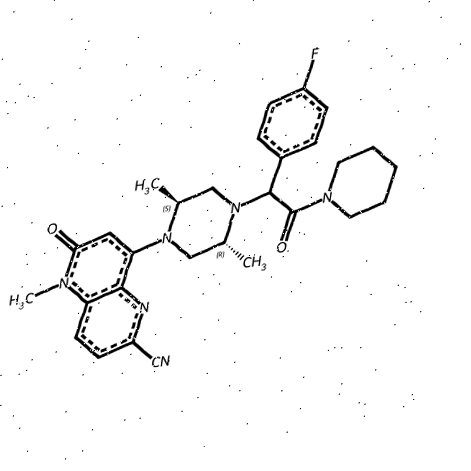 C[C@@H]1CN(c2cc(=O)n(C)c3ccc(C#N)nc23)[C@@H](C)CN1C(C(=O)N1CCCCC1)c1ccc(F)cc1